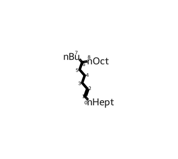 [CH2]CCCCCCC=CCCCC(CCCC)CCCCCCC[CH2]